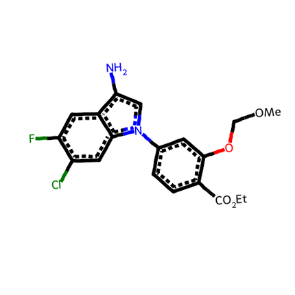 CCOC(=O)c1ccc(-n2cc(N)c3cc(F)c(Cl)cc32)cc1OCOC